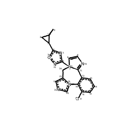 CC1CC1c1nc([N+]23C=CN=C2c2cccc(Cl)c2-n2cncc2C3)no1